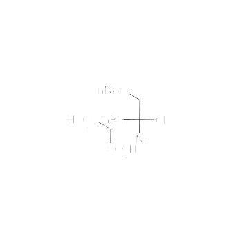 CCCCCCCCCC[C](C)([Na])CCCC.O=C(O)CC(=O)O